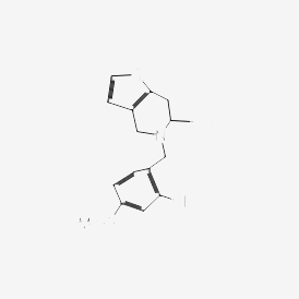 COc1ccc(CN2Cc3ccsc3CC2C)c(Cl)c1